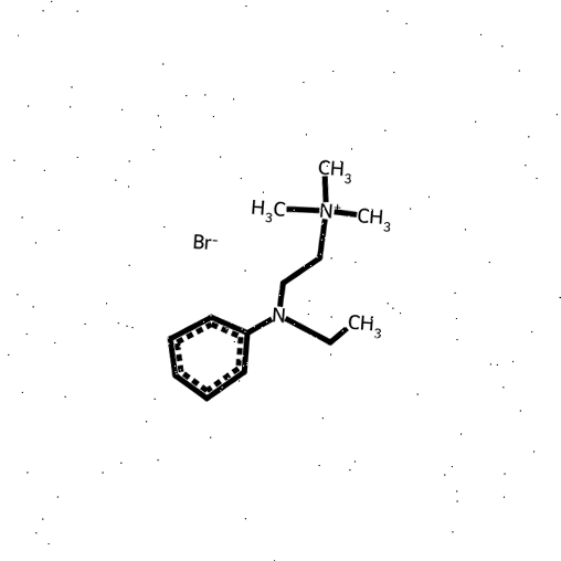 CCN(CC[N+](C)(C)C)c1ccccc1.[Br-]